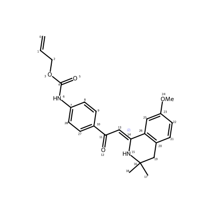 C=CCOC(=O)Nc1ccc(C(=O)/C=C2\NC(C)(C)Cc3ccc(OC)cc32)cc1